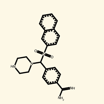 N=C(N)c1ccc(C(N2CCNCC2)S(=O)(=O)c2ccc3ccccc3c2)cc1